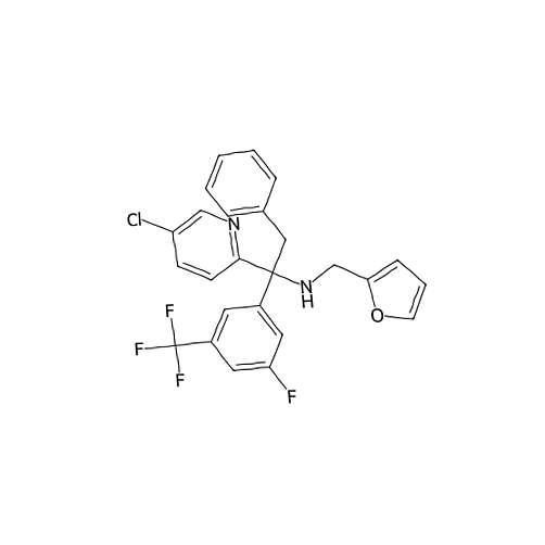 Fc1cc(C(F)(F)F)cc(C(Cc2ccccc2)(NCc2ccco2)c2ccc(Cl)cn2)c1